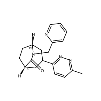 Cc1ccc(C2C[C@@H]3CC[C@H](C2)N(Cc2ccccn2)C3=O)nn1